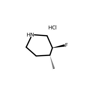 C[C@@H]1CCNC[C@H]1F.Cl